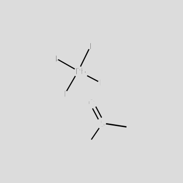 CS(C)=O.[I][Pb]([I])([I])[I]